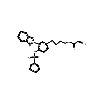 C=CC(=O)OCCCCc1ccc(OS(=O)(=O)c2ccccc2)c(-n2nc3ccccc3n2)c1